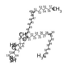 C=C(CC1CCC(CC(=O)C2CCN(S)CC2)C1S)OC(CCCCCCCCC1CC1CCCCCCCC)CCCCCCCCC1CC1CCCCCCCC